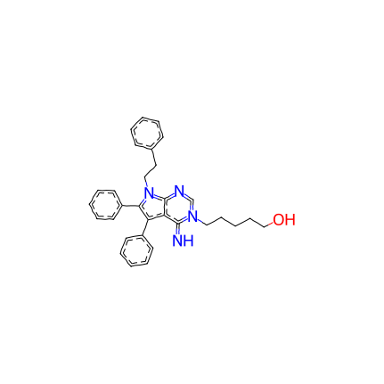 N=c1c2c(-c3ccccc3)c(-c3ccccc3)n(CCc3ccccc3)c2ncn1CCCCCO